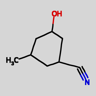 CC1CC(O)CC(C#N)C1